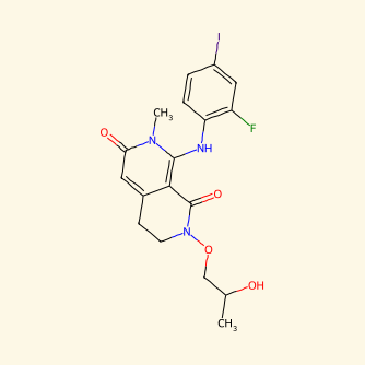 CC(O)CON1CCc2cc(=O)n(C)c(Nc3ccc(I)cc3F)c2C1=O